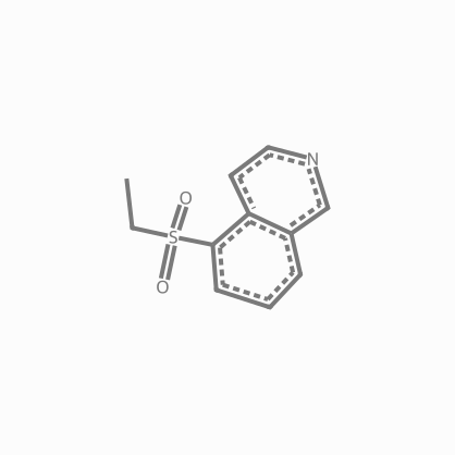 CCS(=O)(=O)c1cccc2cnccc12